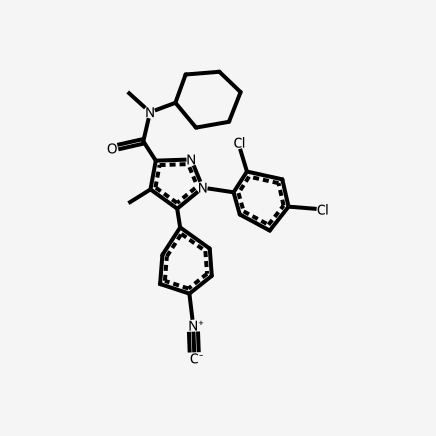 [C-]#[N+]c1ccc(-c2c(C)c(C(=O)N(C)C3CCCCC3)nn2-c2ccc(Cl)cc2Cl)cc1